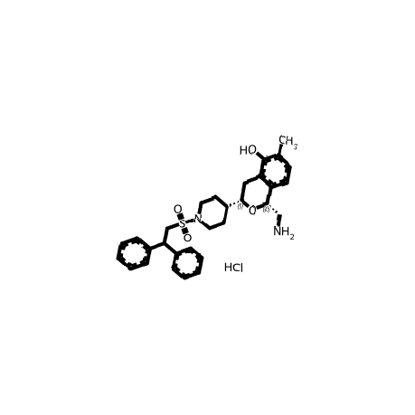 Cc1ccc2c(c1O)C[C@@H](C1CCN(S(=O)(=O)CC(c3ccccc3)c3ccccc3)CC1)O[C@H]2CN.Cl